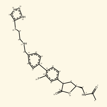 CC(=O)NC[C@@H]1CC(c2ccc(-c3ccc(CNCCSc4cnn[nH]4)cc3)c(F)c2)C(=O)O1